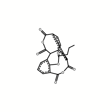 CCCC(=O)Oc1c2cccc1C1C(=O)OC(=O)c3ccc1cc3C(=O)OC2=O